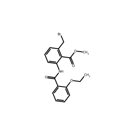 CCOc1ccccc1C(=O)Nc1cccc(CBr)c1C(=O)OC